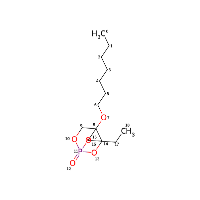 CCCCCCCOC12COP(=O)(OC1)OC2CC